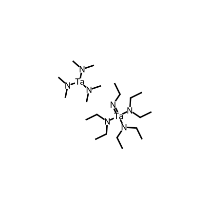 CC[N]=[Ta]([N](CC)CC)([N](CC)CC)[N](CC)CC.C[N](C)[Ta]([N](C)C)[N](C)C